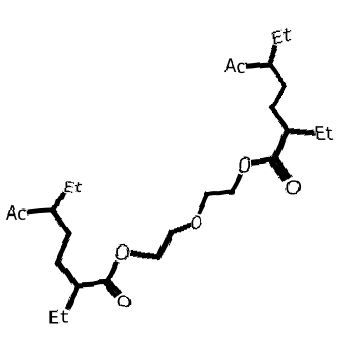 CCC(CCC(CC)C(=O)OCCOCCOC(=O)C(CC)CCC(CC)C(C)=O)C(C)=O